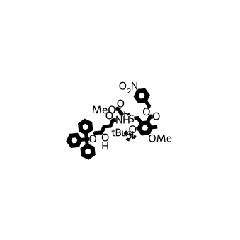 COC(=O)[C@H](CSCc1c(O[Si](C)(C)C(C)(C)C)cc(OC)c(C)c1C(=O)OCc1ccc([N+](=O)[O-])cc1)NC(=O)CC[C@@H](O)COC(c1ccccc1)(c1ccccc1)c1ccccc1